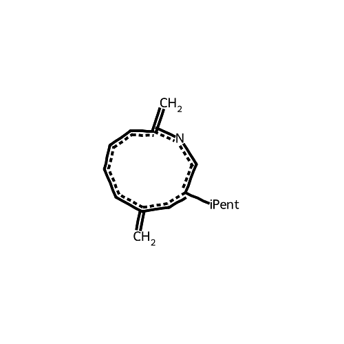 C=c1ccccc(=C)ncc(C(C)CCC)c1